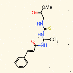 COC(=O)CNC(=S)NC(NC(=O)C=Cc1ccccc1)C(Cl)(Cl)Cl